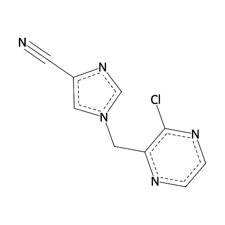 N#Cc1cn(Cc2nccnc2Cl)cn1